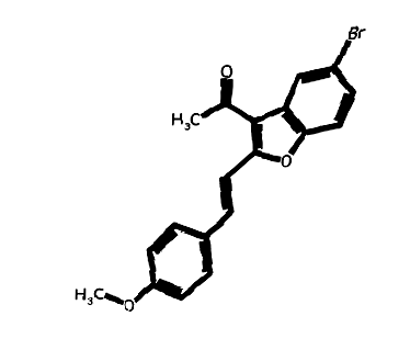 COc1ccc(C=Cc2oc3ccc(Br)cc3c2C(C)=O)cc1